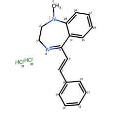 CN1CCN=C(/C=C/c2ccccc2)c2ccccc21.Cl.Cl